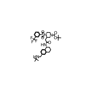 CC(C)(C)NCc1ccc2c(c1)CCC[C@H]2NC(=O)CC1CN(C(=O)OC(C)(C)C)CCN1S(=O)(=O)c1cccc(C(F)(F)F)c1